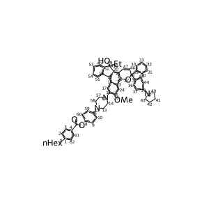 CCCCCCc1ccc(C(=O)Oc2ccc(N3CCN(c4cc5c6c(c7c(c5cc4OC)OC(c4ccccc4)(c4ccc(N5CCCC5)cc4)C=C7)C(O)(CC)c4ccccc4-6)CC3)cc2)cc1